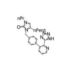 CCCCCc1cn(CCC)c(=O)n1Cc1ccc(-c2cccnc2-c2nnn[nH]2)cc1